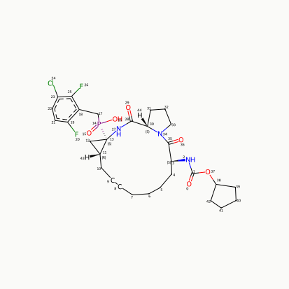 O=C(N[C@H]1CCCCCCC[C@@H]2C[C@@]2(P(=O)(O)Cc2c(F)ccc(Cl)c2F)NC(=O)[C@@H]2CCCN2C1=O)OC1CCCC1